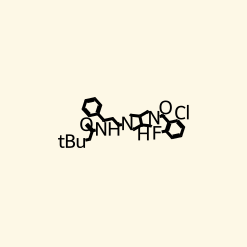 CC(C)(C)CC(=O)NC(CCN1CC2CN(C(=O)c3c(F)cccc3Cl)C[C@@H]2C1)c1ccccc1